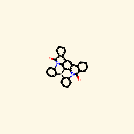 O=c1c2ccccc2c2cc3c4ccccc4c(=O)n4c3c3c2n1-c1ccccc1B3c1ccccc1-4